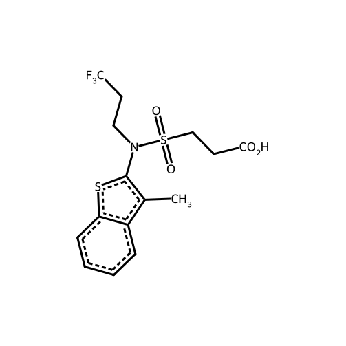 Cc1c(N(CCC(F)(F)F)S(=O)(=O)CCC(=O)O)sc2ccccc12